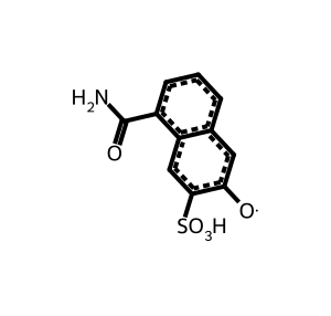 NC(=O)c1cccc2cc([O])c(S(=O)(=O)O)cc12